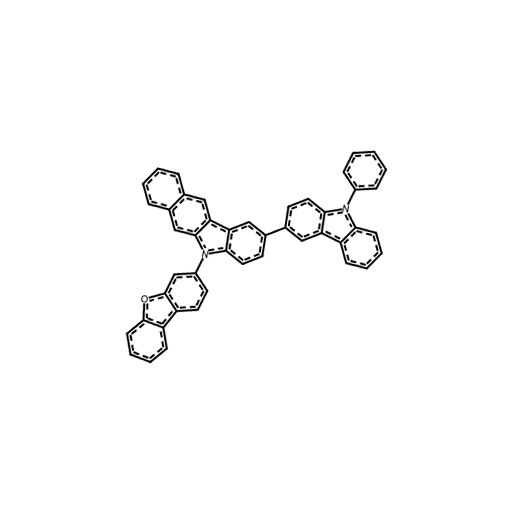 c1ccc(-n2c3ccccc3c3cc(-c4ccc5c(c4)c4cc6ccccc6cc4n5-c4ccc5c(c4)oc4ccccc45)ccc32)cc1